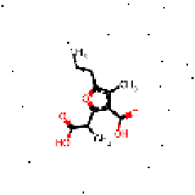 CCCc1oc(C(C)C(=O)O)c(C(=O)O)c1C